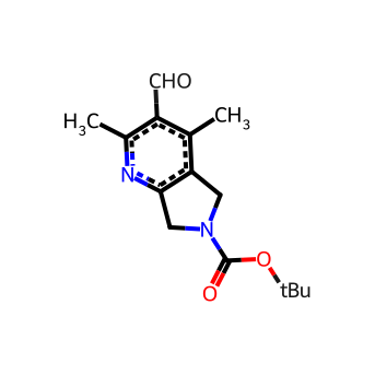 Cc1nc2c(c(C)c1C=O)CN(C(=O)OC(C)(C)C)C2